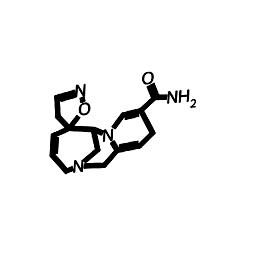 NC(=O)C1=CN2C(=CC1)CN1CC=CC3(CC=NO3)C2C1